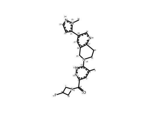 Cc1cc(C(=O)N2CC(F)C2)nnc1N1CCc2ncc(-c3ccnn3C)cc2C1